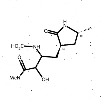 CNC(=O)C(O)C(C[C@@H]1C[C@@H](C)NC1=O)NC(=O)O